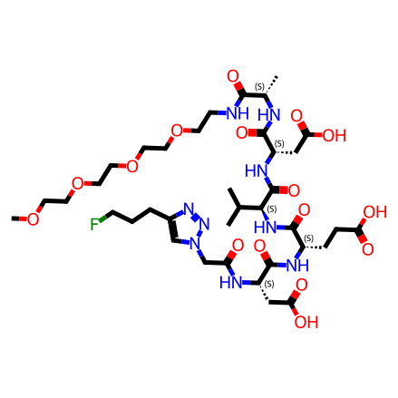 COCCOCCOCCOCCNC(=O)[C@H](C)NC(=O)[C@H](CC(=O)O)NC(=O)[C@@H](NC(=O)[C@H](CCC(=O)O)NC(=O)[C@H](CC(=O)O)NC(=O)Cn1cc(CCCF)nn1)C(C)C